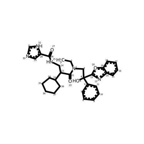 CCN(CC(O)(c1ccccc1)c1nc2ccccc2o1)C(=O)C(CNC(=O)c1cnc[nH]1)C1CCCCC1